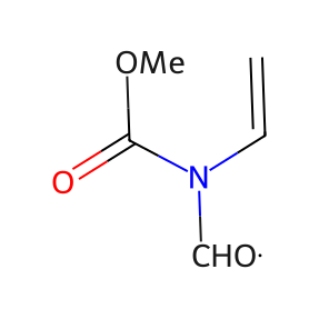 C=CN([C]=O)C(=O)OC